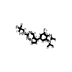 Cc1nc2c(F)cc(-c3ccn4nc(NCC(C)(C)F)ncc34)cc2n1C(C)C